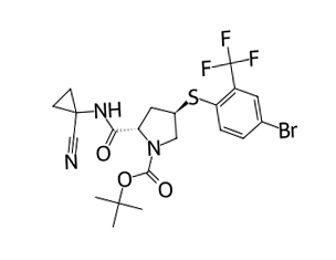 CC(C)(C)OC(=O)N1C[C@H](Sc2ccc(Br)cc2C(F)(F)F)C[C@H]1C(=O)NC1(C#N)CC1